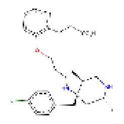 C[C@@H]1C[C@](Cc2ccc(Cl)cc2)(NCCCOc2ccccc2CCC(=O)O)[C@@H](C)CN1